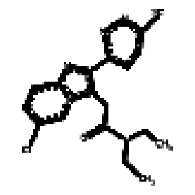 CCN(CC)C(=O)Cc1c(-c2ccc([18F])nn2)nc2ccc(Cl)cn12